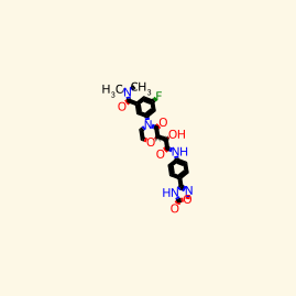 CN(C)C(=O)c1cc(F)cc(N2CCO[C@H]([C@@H](O)C(=O)Nc3ccc(-c4noc(=O)[nH]4)cc3)C2=O)c1